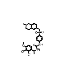 COc1ccc(C(C)NC(=O)Nc2ccc(S(=O)(=O)Cc3ccc4c(c3)CCN(C)C4)cc2)c(Cl)c1Cl